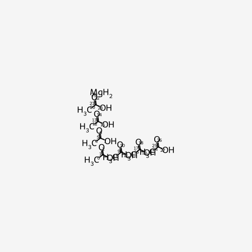 CC(=O)O.CC(=O)O.CC(=O)O.CC(=O)O.CC(=O)O.CC(=O)O.CC(=O)O.[MgH2]